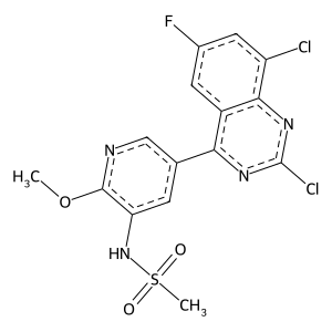 COc1ncc(-c2nc(Cl)nc3c(Cl)cc(F)cc23)cc1NS(C)(=O)=O